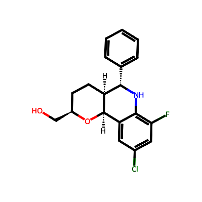 OC[C@H]1CC[C@@H]2[C@H](O1)c1cc(Cl)cc(F)c1N[C@H]2c1ccccc1